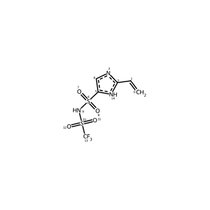 C=Cc1ncc(S(=O)(=O)NS(=O)(=O)C(F)(F)F)[nH]1